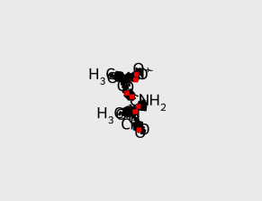 COc1ccc2c(c1)c(OC(=O)Cc1ccc(Cl)cc1)nn2Cc1cccc([N+](=O)[O-])c1.COc1ccc2c(c1)c(OCc1cc3c(cc1Cl)OCO3)nn2Cc1cccc(N)c1